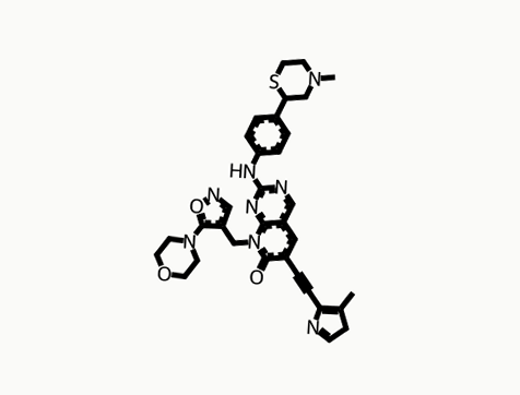 CC1=C(C#Cc2cc3cnc(Nc4ccc(C5CN(C)CCS5)cc4)nc3n(Cc3cnoc3N3CCOCC3)c2=O)N=CC1